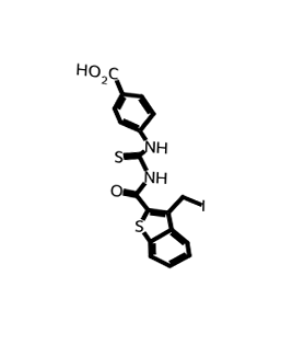 O=C(O)c1ccc(NC(=S)NC(=O)c2sc3ccccc3c2CI)cc1